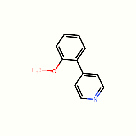 BOc1ccccc1-c1ccncc1